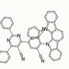 N#Cc1cc(-c2nc(-c3ccccc3)nc(-c3ccccc3)c2C#N)cc(C#N)c1-n1c2ccccc2c2ccc3c4ccccc4n(-c4ccccc4)c3c21